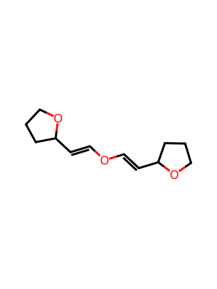 C(=CC1CCCO1)OC=CC1CCCO1